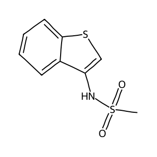 CS(=O)(=O)Nc1csc2ccccc12